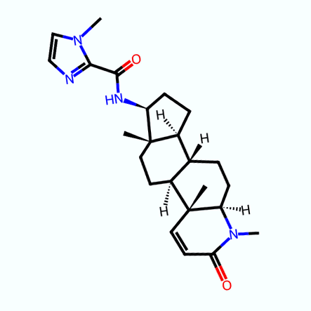 CN1C(=O)C=C[C@]2(C)[C@H]3CC[C@]4(C)[C@@H](NC(=O)c5nccn5C)CC[C@H]4[C@@H]3CC[C@@H]12